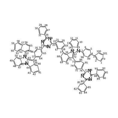 c1ccc(-c2ccc(-n3c4ccccc4n4c5c(-c6cccc(-c7nc(-c8ccccc8)nc(-c8ccc(-c9c%10ccccc%10n%10c%11ccccc%11n(-c%11cccc%12ccccc%11%12)c9%10)cc8)n7)c6)cccc5c(-c5ccc(-c6nc(-c7ccccc7)nc(-c7ccccc7)n6)cc5)c34)cc2)cc1